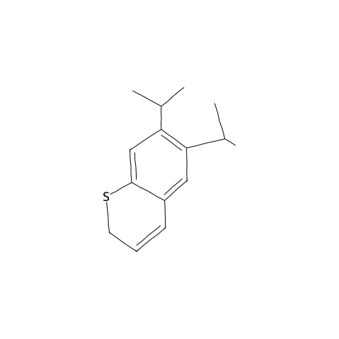 CC(C)c1cc2c(cc1C(C)C)SCC=C2